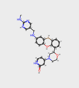 CNc1ncc(CNc2ccc3c(c2)Sc2cccc(C4CN(c5cc[nH]c(=O)c5)CCO4)c2O3)cn1